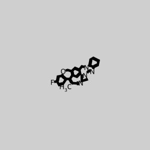 CC(C#N)=C1c2ccc(Cn3c(N4CCC4)nc4ccccc43)cc2COc2cc(F)ccc21